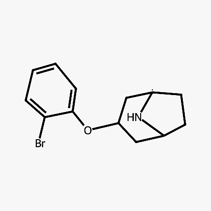 Brc1ccccc1OC1C[C]2CCC(C1)N2